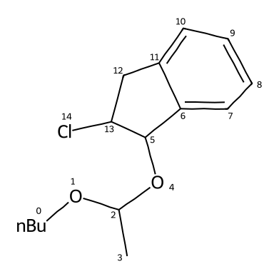 CCCCOC(C)OC1c2ccccc2CC1Cl